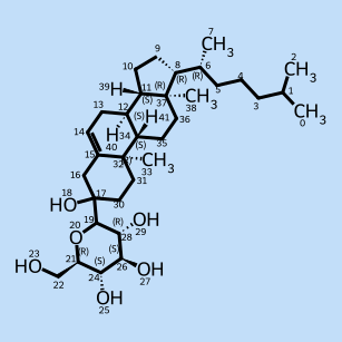 CC(C)CCC[C@@H](C)[C@H]1CC[C@H]2[C@@H]3CC=C4CC(O)(C5O[C@H](CO)[C@@H](O)[C@H](O)[C@H]5O)CC[C@]4(C)[C@H]3CC[C@]12C